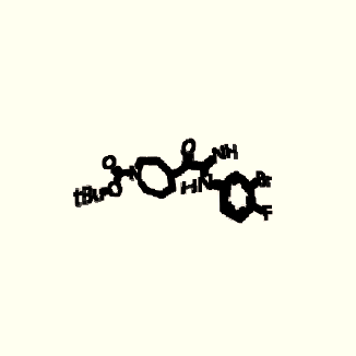 CC(C)(C)OC(=O)N1CCCC(C(=O)C(=N)Nc2ccc(F)c(Br)c2)CC1